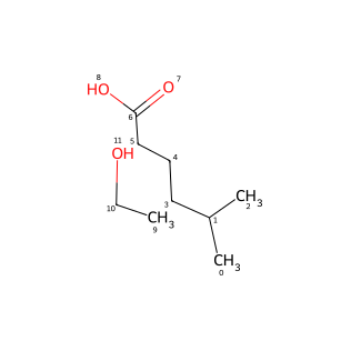 CC(C)CCCC(=O)O.CCO